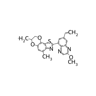 [CH2]C1COc2c(cc(C)c3nc(-c4cc(C=C)cc5nc(OC)cnc45)sc23)O1